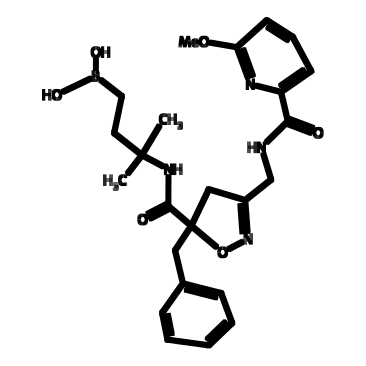 COc1cccc(C(=O)NCC2=NOC(Cc3ccccc3)(C(=O)NC(C)(C)CCB(O)O)C2)n1